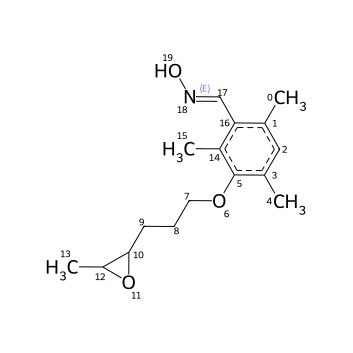 Cc1cc(C)c(OCCCC2OC2C)c(C)c1/C=N/O